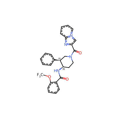 O=C(N[C@@H]1CCN(C(=O)c2cn3ccccc3n2)C[C@@H]1c1ccccc1)c1ccccc1OC(F)(F)F